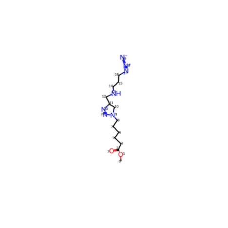 COC(=O)CCCCCN1CC(CNCCCN=[N+]=[N-])N=N1